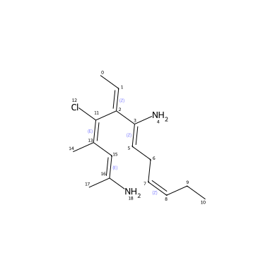 C/C=C(C(/N)=C/C/C=C\CC)\C(Cl)=C(C)/C=C(\C)N